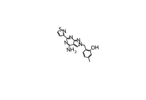 Cc1ccc(Cn2cc3c(N)nc(-c4ccsn4)nc3n2)c(O)c1